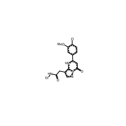 CCNC(=O)Cc1cnn2c(=O)cc(-c3ccc(Cl)c(OC)c3)[nH]c12